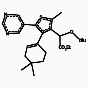 CCOC(=O)C(OC(C)(C)C)c1c(C)sc(-c2cncnc2)c1C1=CCC(C)(C)CC1